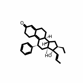 CC=C[C@]1(O)[C@H](CC)C[C@H]2[C@@H]3CCC4=CC(=O)CCC4=C3[C@@H](c3ccccc3)C[C@@]21C